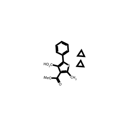 C1CC1.C1CC1.COC(=O)c1c(C)sc(-c2ccccc2)c1C(=O)O